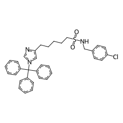 O=S(=O)(CCCCCc1cn(C(c2ccccc2)(c2ccccc2)c2ccccc2)cn1)NCc1ccc(Cl)cc1